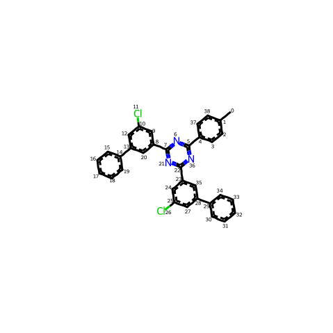 Cc1ccc(-c2nc(-c3cc(Cl)cc(-c4ccccc4)c3)nc(-c3cc(Cl)cc(-c4ccccc4)c3)n2)cc1